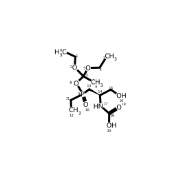 CCOC(C)(OCC)OP(=O)(CC)C[C@@H](CO)NC(=O)O